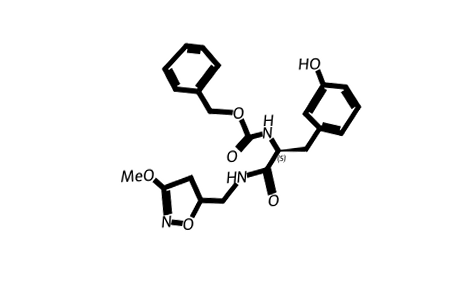 COC1=NOC(CNC(=O)[C@H](Cc2cccc(O)c2)NC(=O)OCc2ccccc2)C1